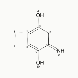 N=C1CC(O)=C2CCC2=C1O